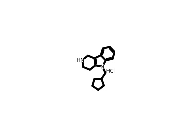 Cl.c1ccc2c(c1)c1c(n2CC2CCCC2)CCNC1